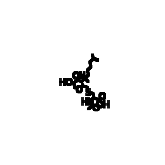 C=C(C)CCCCC(C)(C)C1C(CSCC(NC(C)=O)C(=O)O)OCC(O)C1O